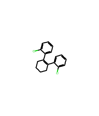 Clc1ccccc1C1=C(c2ccccc2Cl)CCCC1